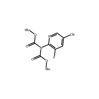 CC(C)(C)OC(=O)N(C(=O)OC(C)(C)C)c1ncc(C#N)cc1F